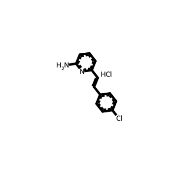 Cl.Nc1cccc(/C=C/c2ccc(Cl)cc2)n1